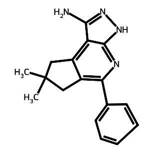 CC1(C)Cc2c(-c3ccccc3)nc3[nH]nc(N)c3c2C1